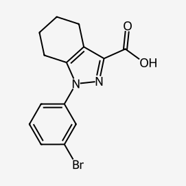 O=C(O)c1nn(-c2cccc(Br)c2)c2c1CCCC2